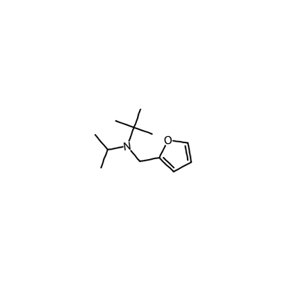 CC(C)N(Cc1ccco1)C(C)(C)C